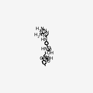 Cc1ccc(C(=O)NCCC[C@H](NC(=O)c2ccc(NCc3cnc4nc(N)nc(N)c4n3)cc2)C(=O)O)c(S(=O)(=O)O)c1